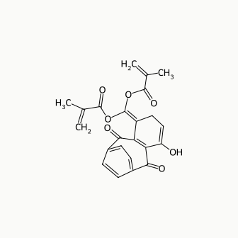 C=C(C)C(=O)OC(OC(=O)C(=C)C)=C1CC=C(O)c2c1c(=O)c1ccc(cc1)c2=O